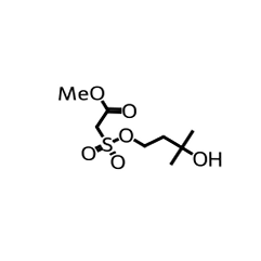 COC(=O)CS(=O)(=O)OCCC(C)(C)O